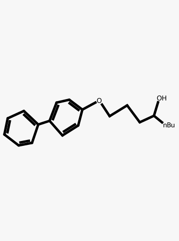 CCCCC(O)CCCOc1ccc(-c2ccccc2)cc1